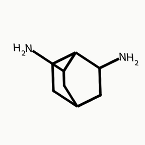 NC1CC2CCC1C(N)C2